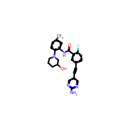 Nc1ncc(C#Cc2ccc(F)c(C(=O)Nc3cc(C(F)(F)F)ccc3N3CCCC(O)C3)c2)cn1